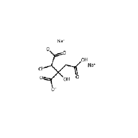 O=C(O)CC(O)(C(=O)[O-])C(Cl)C(=O)[O-].[Na+].[Na+]